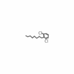 CCCCCC[CH]Cc1c(Cl)cccc1Cl